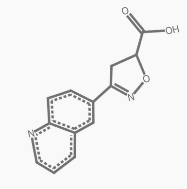 O=C(O)C1CC(c2ccc3ncccc3c2)=NO1